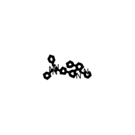 c1ccc(-c2nc(-c3ccccc3)nc(-c3ccc(-c4ccc5nc(-c6ccccn6)c6cccc(-c7ccccc7)c6c5c4)cc3)n2)cc1